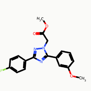 COC(=O)Cn1nc(-c2ccc(F)cc2)nc1-c1cccc(OC)c1